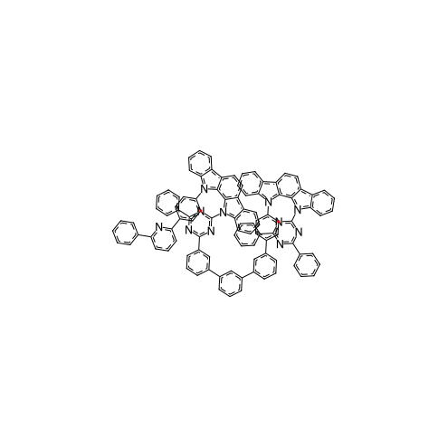 c1ccc(-c2cccc(-c3ccc(-n4c5ccccc5c5ccc6c7ccccc7n(-c7nc(-c8ccccc8)nc(-c8cccc(-c9cccc(-c%10cccc(-c%11ccc(-n%12c%13ccccc%13c%13ccc%14c%15ccccc%15n(-c%15nc(-c%16ccccc%16)nc(-c%16ccccc%16)n%15)c%14c%13%12)cc%11)c%10)c9)c8)n7)c6c54)cc3)n2)cc1